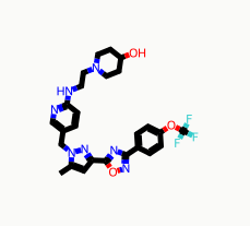 Cc1cc(-c2nc(-c3ccc(OC(F)(F)F)cc3)no2)nn1Cc1ccc(NCCN2CCC(O)CC2)nc1